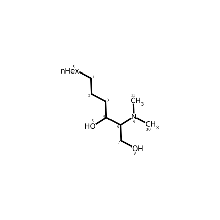 CCCCCCCCCC(O)C(CO)N(C)C